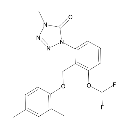 Cc1ccc(OCc2c(OC(F)F)cccc2-n2nnn(C)c2=O)c(C)c1